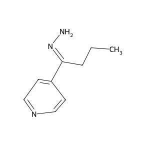 CCCC(=NN)c1ccncc1